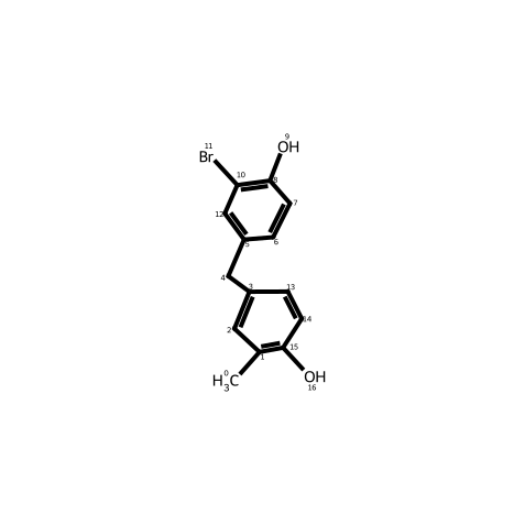 Cc1cc(Cc2ccc(O)c(Br)c2)ccc1O